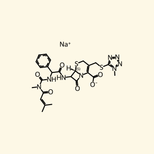 CC(C)=CC(=O)N(C)C(=O)NC(C(=O)NC1C(=O)N2C(C(=O)[O-])=C(CSc3nnnn3C)CS[C@@H]12)c1ccccc1.[Na+]